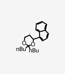 CCCCC1(CCCC)OC[CH]C(c2cccc3ccccc23)O1